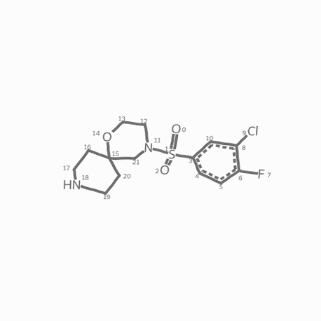 O=S(=O)(c1ccc(F)c(Cl)c1)N1CCOC2(CCNCC2)C1